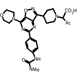 CNC(=O)Nc1ccc(-c2nc(N3CCOCC3)c3onc(C4CCN(C(C(C)=O)C(=O)O)CC4)c3n2)cc1